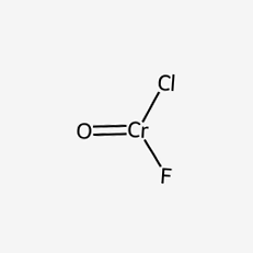 [O]=[Cr]([F])[Cl]